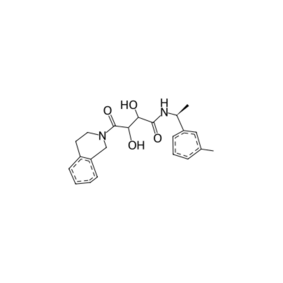 Cc1cccc([C@H](C)NC(=O)C(O)C(O)C(=O)N2CCc3ccccc3C2)c1